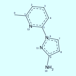 Cc1cccc(-n2ccc(N)n2)n1